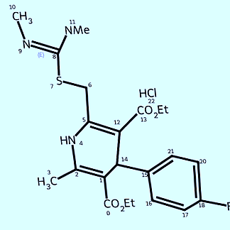 CCOC(=O)C1=C(C)NC(CS/C(=N/C)NC)=C(C(=O)OCC)C1c1ccc(F)cc1.Cl